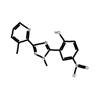 Cc1cccnc1-c1nc(-c2cc([N+](=O)[O-])ccc2O)n(C)n1